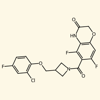 O=C1COc2cc(F)c(C(=O)N3CC(COc4ccc(F)cc4Cl)C3)c(F)c2N1